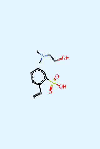 C=Cc1ccccc1S(=O)(=O)O.CN(C)CCO